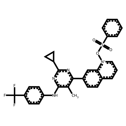 Cc1c(Nc2ccc(C(F)(F)F)cc2)nc(C2CC2)nc1-c1ccc2ccc[n+](OS(=O)(=O)c3ccccc3)c2c1